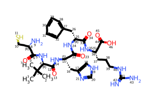 CC(C)(C)[C@@H](NC(=O)[C@@H](N)CS)C(=O)N[C@@H](Cc1c[nH]cn1)C(=O)N[C@H](Cc1ccccc1)C(=O)N[C@@H](CCCNC(=N)N)C(=O)O